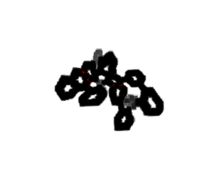 c1ccc(-c2ccccc2Nc2ccccc2-c2cccc(-c3ccc(N(c4ccccc4-c4cccc5ccccc45)c4cccc5oc6ccccc6c45)cc3)c2)cc1